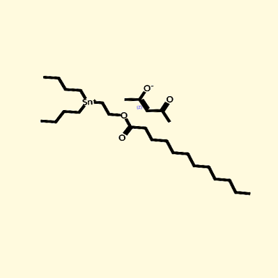 CC(=O)/C=C(/C)[O-].CCCCCCCCCCCC(=O)OC[CH2][Sn+]([CH2]CCC)[CH2]CCC